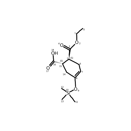 CCOC(=O)[C@H]1CC=C(O[Si](C)(C)C)C[C@@H]1C(=O)O